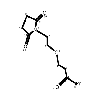 CC(C)C(=O)CCOCCN1C(=O)CCC1=O